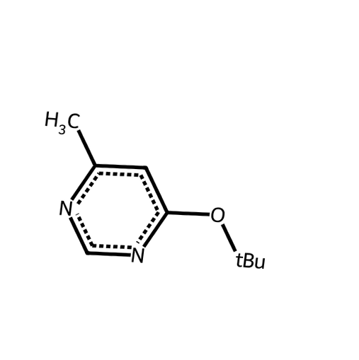 Cc1cc(OC(C)(C)C)ncn1